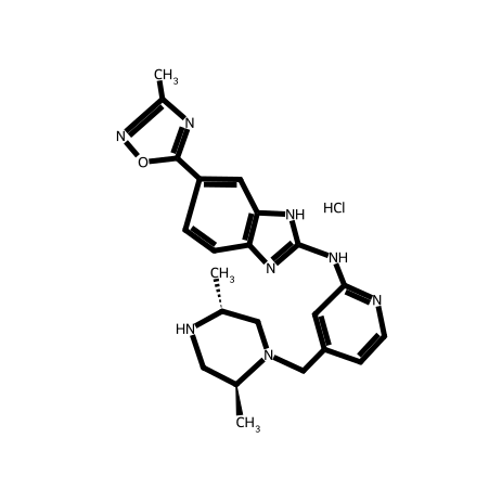 Cc1noc(-c2ccc3nc(Nc4cc(CN5C[C@@H](C)NC[C@@H]5C)ccn4)[nH]c3c2)n1.Cl